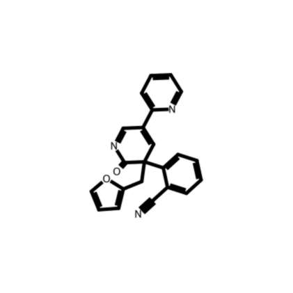 N#Cc1ccccc1C1(Cc2ccco2)C=C(c2ccccn2)C=NC1=O